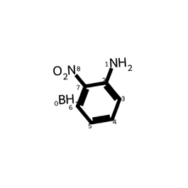 B.Nc1ccccc1[N+](=O)[O-]